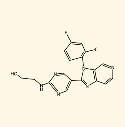 OCCNc1ncc(-c2nc3ccncc3n2-c2ccc(F)cc2Cl)cn1